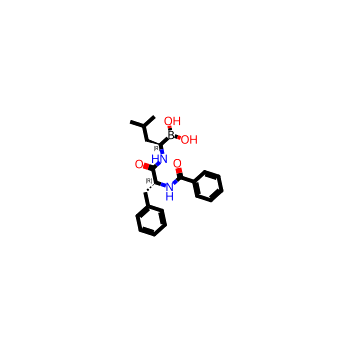 CC(C)C[C@H](NC(=O)[C@@H](Cc1ccccc1)NC(=O)c1ccccc1)B(O)O